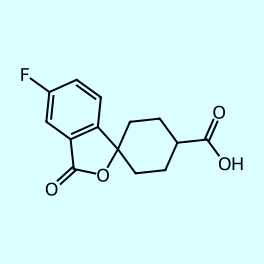 O=C1OC2(CCC(C(=O)O)CC2)c2ccc(F)cc21